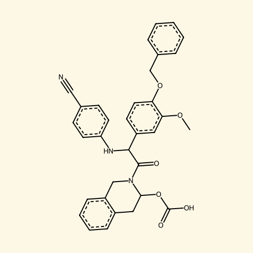 COc1cc(C(Nc2ccc(C#N)cc2)C(=O)N2Cc3ccccc3CC2OC(=O)O)ccc1OCc1ccccc1